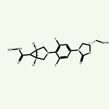 CC(=O)NC[C@H]1CN(c2cc(F)c(N3C[C@@H]4C(C(=O)NO)[C@@H]4C3)c(F)c2)C(=O)O1